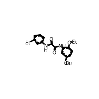 CCOc1ccc(C(C)(C)C)cc1NC(=O)C(=O)Nc1cccc(CC)c1